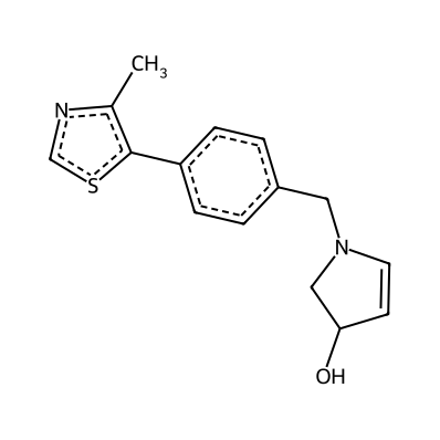 Cc1ncsc1-c1ccc(CN2C=CC(O)C2)cc1